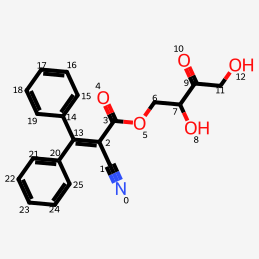 N#CC(C(=O)OCC(O)C(=O)CO)=C(c1ccccc1)c1ccccc1